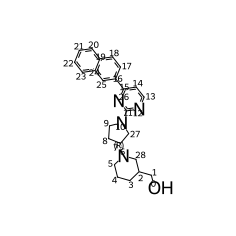 OCC1CCCN([C@@H]2CCN(c3nccc(-c4ccc5ccccc5c4)n3)C2)C1